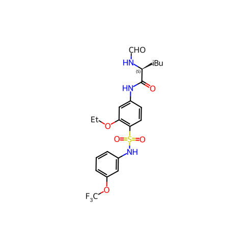 CCOc1cc(NC(=O)[C@@H](NC=O)C(C)CC)ccc1S(=O)(=O)Nc1cccc(OC(F)(F)F)c1